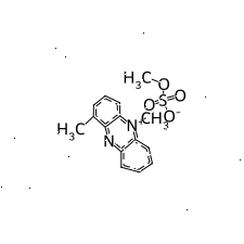 COS(=O)(=O)[O-].Cc1cccc2c1nc1ccccc1[n+]2C